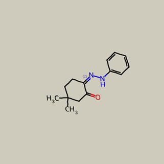 CC1(C)CC/C(=N/Nc2ccccc2)C(=O)C1